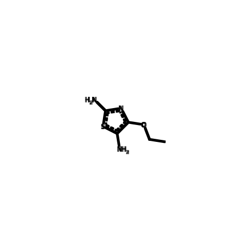 CCOc1nc(N)sc1N